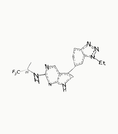 CCn1nnc2ccc(-c3c[nH]c4nc(N[C@@H](C)C(F)(F)F)ncc34)cc21